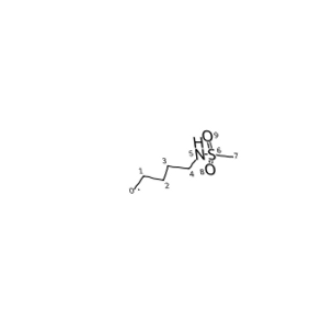 [CH2]CCCCNS(C)(=O)=O